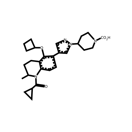 CC1CCc2c(ccc(-c3cnn(C4CCN(C(=O)O)CC4)c3)c2OC2CCC2)N1C(=O)C1CC1